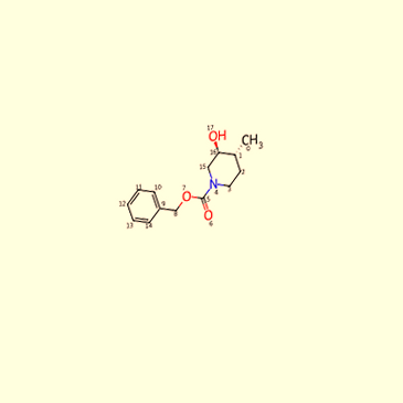 C[C@@H]1CCN(C(=O)OCc2ccccc2)C[C@H]1O